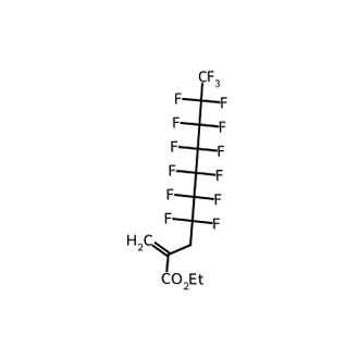 C=C(CC(F)(F)C(F)(F)C(F)(F)C(F)(F)C(F)(F)C(F)(F)C(F)(F)F)C(=O)OCC